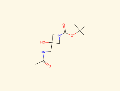 CC(=O)NCC1(O)CN(C(=O)OC(C)(C)C)C1